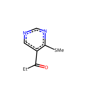 CCC(=O)c1cncnc1SC